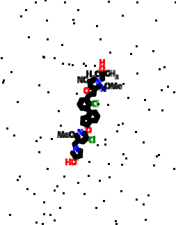 CO/N=c1/c2cc(-c3cccc(-c4cccc5c4CC[C@@H]5Oc4nc(OC)c(CN5CC[C@@H](O)C5)cc4Cl)c3Cl)oc2c(C#N)cn1CC(C)(C)O